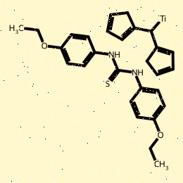 CCOc1ccc(NC(=S)Nc2ccc(OCC)cc2)cc1.[Ti][CH](C1=CC=CC1)C1=CC=CC1